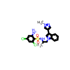 Cn1cc(-c2cn(CC(NS(=O)(=O)c3c(N)cc(Cl)cc3Cl)C(F)(F)F)c3ccccc23)cn1